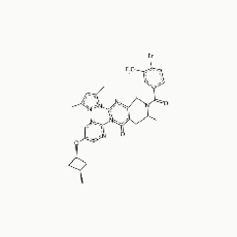 Cc1cc(C)n(-c2nc3c(c(=O)n2-c2ncc(O[C@H]4C[C@@H](C)C4)cn2)CC(C)N(C(=O)c2ccc(Br)c(C(F)(F)F)c2)C3)n1